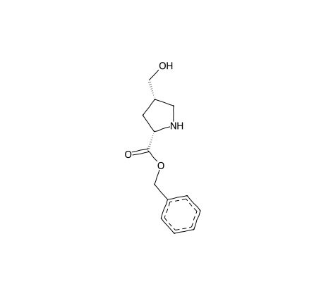 O=C(OCc1ccccc1)[C@@H]1C[C@H](CO)CN1